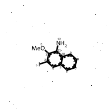 COc1c(I)cc2ccccc2c1N